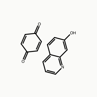 O=C1C=CC(=O)C=C1.Oc1ccc2cccnc2c1